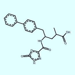 CC(CC(Cc1ccc(-c2ccccc2)cc1)NC(=O)c1n[nH]c(=O)o1)C(=O)O